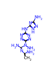 C=C(N)/N=C(/N)N(N)c1nnc(Nc2nc(N)n[nH]2)nn1